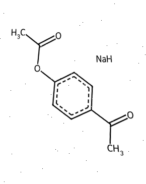 CC(=O)Oc1ccc(C(C)=O)cc1.[NaH]